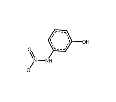 O=[N+]([O-])Nc1cccc(O)c1